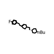 CCCC[C@H]1CC[C@H](CCC2CC=C(CCc3ccc(F)cc3)CC2)CC1